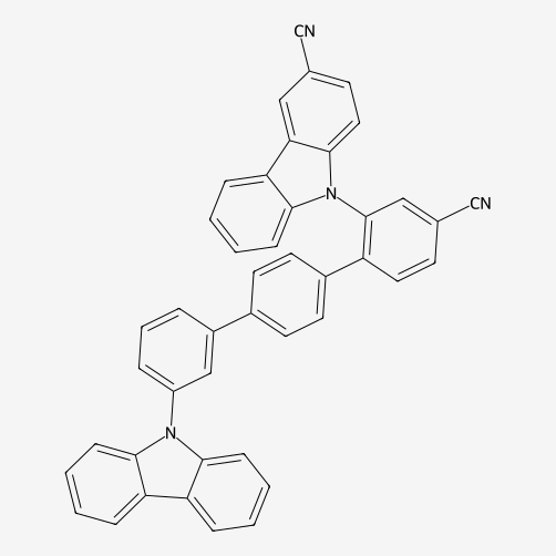 N#Cc1ccc(-c2ccc(-c3cccc(-n4c5ccccc5c5ccccc54)c3)cc2)c(-n2c3ccccc3c3cc(C#N)ccc32)c1